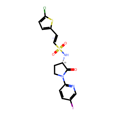 O=C1[C@@H](NS(=O)(=O)/C=C/c2ccc(Cl)s2)CCN1c1ccc(I)cn1